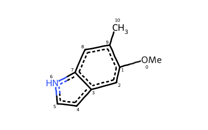 COc1cc2cc[nH]c2cc1C